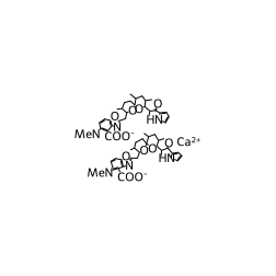 CNc1ccc2oc(CC3OC4(CCC3C)OC(C(C)C(=O)c3ccc[nH]3)C(C)CC4C)nc2c1C(=O)[O-].CNc1ccc2oc(CC3OC4(CCC3C)OC(C(C)C(=O)c3ccc[nH]3)C(C)CC4C)nc2c1C(=O)[O-].[Ca+2]